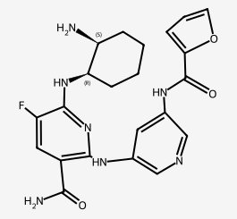 NC(=O)c1cc(F)c(N[C@@H]2CCCC[C@@H]2N)nc1Nc1cncc(NC(=O)c2ccco2)c1